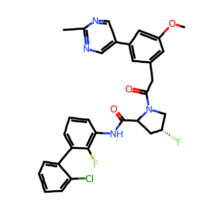 COc1cc(CC(=O)N2C[C@H](F)CC2C(=O)Nc2cccc(-c3ccccc3Cl)c2F)cc(-c2cnc(C)nc2)c1